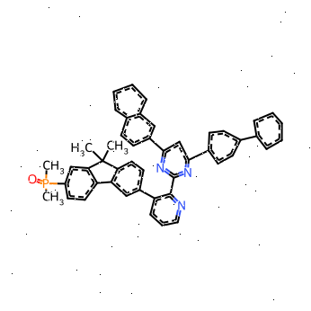 CC1(C)c2ccc(-c3cccnc3-c3nc(-c4ccc(-c5ccccc5)cc4)cc(-c4ccc5ccccc5c4)n3)cc2-c2ccc(P(C)(C)=O)cc21